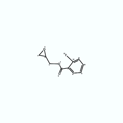 O=C(OCC1CO1)c1ccccc1F